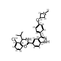 CC(C)C(NC(=O)c1ccc2[nH]nc(-c3ccc(OC4CN(C)C4)cc3)c2c1)c1ccccc1Cl